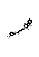 Cc1ccc2[nH]c3c(=O)n(CCCCC(=O)NCc4cccc(C(F)(F)F)c4)cnc3c2c1